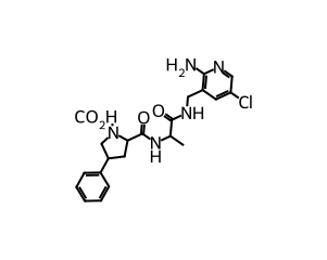 CC(NC(=O)C1CC(c2ccccc2)CN1C(=O)O)C(=O)NCc1cc(Cl)cnc1N